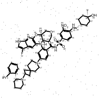 CC(C)c1ccccc1[C@H]1CCCCN1C1CC2(CCN(c3ccc(C(=O)NS(=O)(=O)c4ccc(NC[C@H]5CC[C@](C)(O)CC5)c([N+](=O)[O-])c4)c(N4c5cc6c(F)c[nH]c6nc5O[C@H]5COCC[C@@H]54)c3)CC2)C1